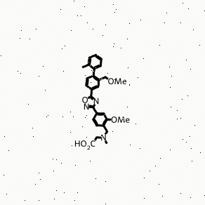 COCc1cc(-c2nc(-c3ccc(CN(C)CC(=O)O)c(OC)c3)no2)ccc1-c1ccccc1C